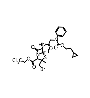 CC1(CBr)S[C@H]2C(NC(=O)CN(C(=O)OCCC3CC3)c3ccccc3)C(=O)N2C1C(=O)OCC(Cl)(Cl)Cl